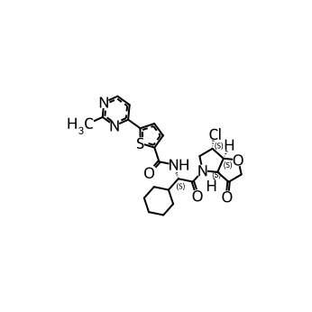 Cc1nccc(-c2ccc(C(=O)N[C@H](C(=O)N3C[C@H](Cl)[C@H]4OCC(=O)[C@H]43)C3CCCCC3)s2)n1